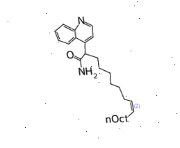 CCCCCCCC/C=C\CCCCCCC(C(N)=O)c1ccnc2ccccc12